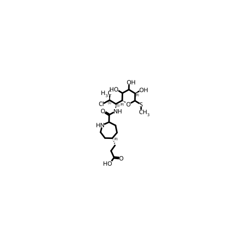 CSC1O[C@H]([C@H](NC(=O)C2CC[C@H](CCC(=O)O)CCN2)[C@H](C)Cl)C(O)C(O)[C@H]1O